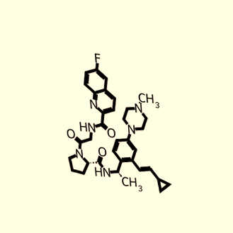 C[C@H](NC(=O)[C@@H]1CCCN1C(=O)CNC(=O)c1ccc2cc(F)ccc2n1)c1ccc(N2CCN(C)CC2)cc1/C=C/C1CC1